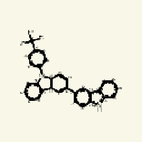 FC(F)(F)c1ccc(N2c3ccccc3C3C=C(c4ccc5[nH]c6ccccc6c5c4)C=CC32)cc1